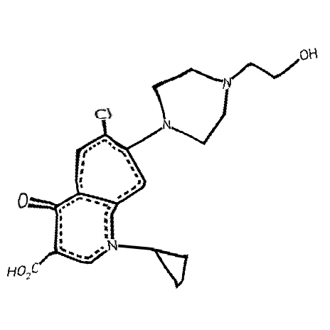 O=C(O)c1cn(C2CC2)c2cc(N3CCN(CCO)CC3)c(Cl)cc2c1=O